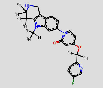 [2H]C([2H])(Oc1ccn(-c2ccc3c4c(n(C([2H])([2H])[2H])c3c2)C([2H])([2H])C([2H])([2H])NC4)c(=O)c1)c1ccc(F)cn1